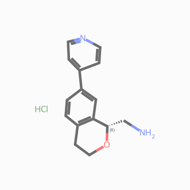 Cl.NC[C@@H]1OCCc2ccc(-c3ccncc3)cc21